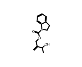 C=C(COC(=O)N1CCc2ccccc21)C(C)O